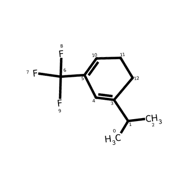 CC(C)C1=CC(C(F)(F)F)=CCC1